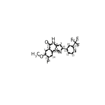 COc1cc2c(=O)[nH]c3cc(-c4ccnc(C(F)(F)F)c4)nn3c2cc1F